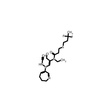 C#CNN(/C=C(\CCl)N(CC)C(=O)CCSCCC(C)(F)F)C1=CCCCN=C1